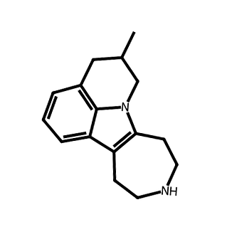 CC1Cc2cccc3c4c(n(c23)C1)CCNCC4